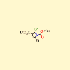 CCOC(=O)c1cc(CC)n(C(=O)OC(C)(C)C)c1Br